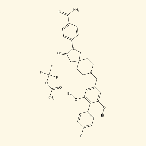 CC(=O)OC(F)(F)F.CCOc1cc(CN2CCC3(CC2)CC(=O)N(c2ccc(C(N)=O)cc2)C3)cc(OCC)c1-c1ccc(F)cc1